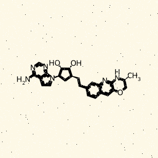 C[C@@H]1COc2cc3ccc(CC[C@H]4C[C@@H](n5ccc6c(N)ncnc65)[C@H](O)[C@@H]4O)cc3nc2N1